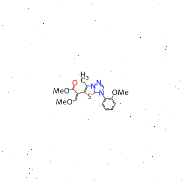 CO/C=C(\C(=O)OC)C1=C(C)N2N=CN(c3ccccc3OC)C2S1